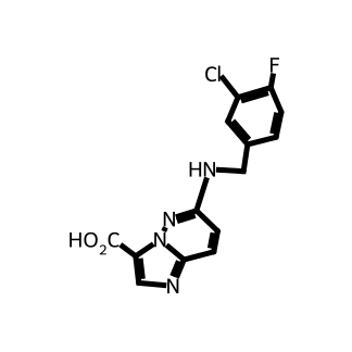 O=C(O)c1cnc2ccc(NCc3ccc(F)c(Cl)c3)nn12